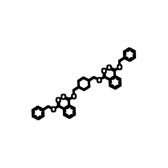 O=C(OCc1ccccc1)c1ccccc1C(=O)OCC1CCC(COC(=O)c2ccccc2C(=O)OCc2ccccc2)CC1